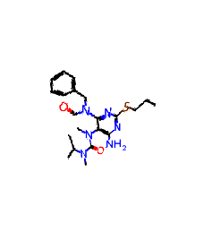 CCCSc1nc(N)c(N(C)C(=O)N(C)C(C)C)c(N(C=O)Cc2ccccc2)n1